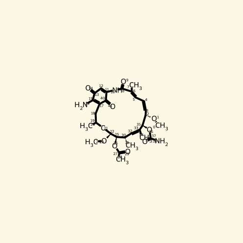 CO[C@H]1/C=C\C=C(/C)C(=O)NC2=CC(=O)C(N)=C(CC(C)C[C@H](OC)[C@H](OC(C)=O)[C@@H](C)/C=C(\C)[C@@H]1OC(N)=O)C2=O